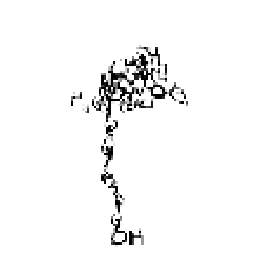 Cc1sc2c(c1C)C(c1ccc(Cl)cc1)=NC([C@@H](C(=O)N(C)CCOCCOCCCOCCOCCOCCO)C(C)(C)C)c1nnc(C)n1-2